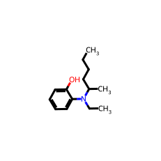 CCCCC(C)N(CC)c1ccccc1O